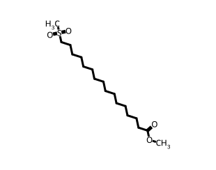 COC(=O)CCCCCCCCCCCCCCCS(C)(=O)=O